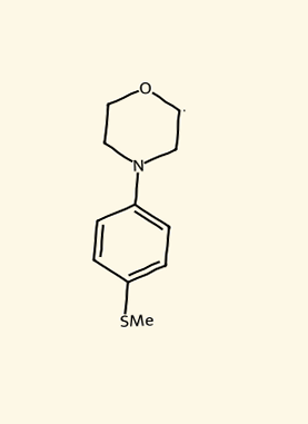 CSc1ccc(N2C[CH]OCC2)cc1